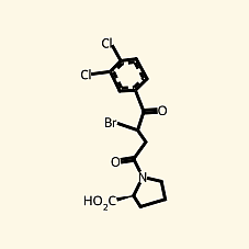 O=C(c1ccc(Cl)c(Cl)c1)C(Br)CC(=O)N1CCC[C@H]1C(=O)O